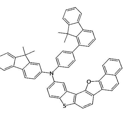 CC1(C)c2ccccc2-c2ccc(N(c3ccc(-c4cccc5c4C(C)(C)c4ccccc4-5)cc3)c3ccc4sc5ccc6c7ccc8ccccc8c7oc6c5c4c3)cc21